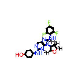 [2H]C1OC([2H])C([2H])([2H])C1n1c(Nc2c(F)cc(F)cc2F)nc2cnc(NC3CCC(O)CC3)nc21